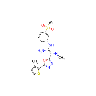 C=N/C(=C(/N)NC1C=C(S(=O)(=O)C(C)C)C=CC1)c1nnc(-c2sccc2C)o1